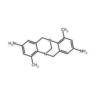 Cc1cc(N)cc2c1N1Cc3cc(N)cc(C)c3N(C2)C1